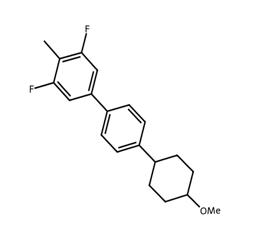 COC1CCC(c2ccc(-c3cc(F)c(C)c(F)c3)cc2)CC1